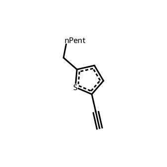 C#Cc1ccc(CCCCCC)s1